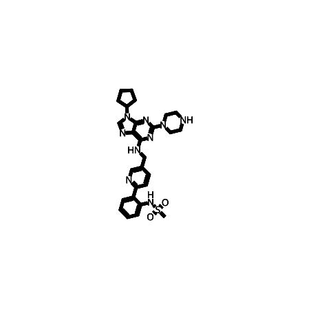 CS(=O)(=O)Nc1ccccc1-c1ccc(CNc2nc(N3CCNCC3)nc3c2ncn3C2CCCC2)cn1